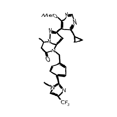 COc1ncnc(C2CC2)c1-c1cc2n(n1)C(C)CC(=O)N2Cc1ccc(-c2nc(C(F)(F)F)cn2C)cc1